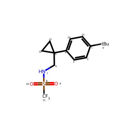 CC(C)(C)c1ccc(C2(CNS(=O)(=O)C(F)(F)F)CC2)cc1